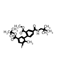 COC(=O)c1cc(C(=O)NCC(C)(C)C)ccc1-c1cc(C(=O)OC(C)(C)C)cc(F)c1C